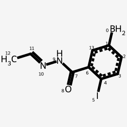 Bc1ccc(I)c(C(=O)N/N=C/C)c1